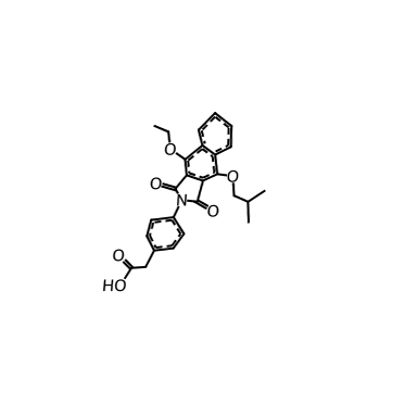 CCOc1c2c(c(OCC(C)C)c3ccccc13)C(=O)N(c1ccc(CC(=O)O)cc1)C2=O